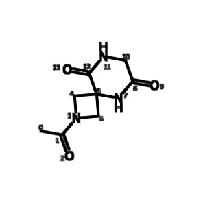 CC(=O)N1CC2(C1)NC(=O)CNC2=O